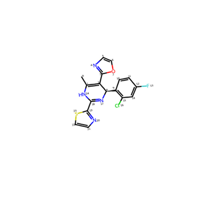 CC1=C(c2ncco2)[C@@H](c2ccc(F)cc2Cl)N=C(c2nccs2)N1